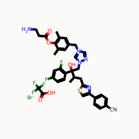 Cc1cc(C[n+]2cnn(CC(O)(c3ccc(F)cc3F)C(C)Cc3nc(-c4ccc(C#N)cc4)cs3)c2)cc(C)c1OC(=O)CCN.O=C(O)C(F)(F)F.[Br-]